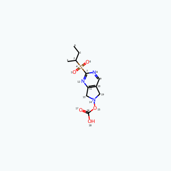 CCC(C)S(=O)(=O)c1ncc2c(n1)CN(OC(=O)O)C2